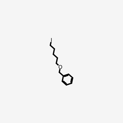 ICCCCCOCc1ccccc1